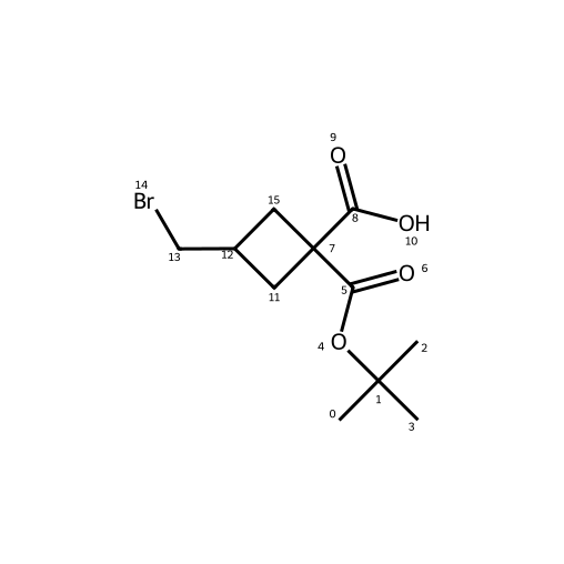 CC(C)(C)OC(=O)C1(C(=O)O)CC(CBr)C1